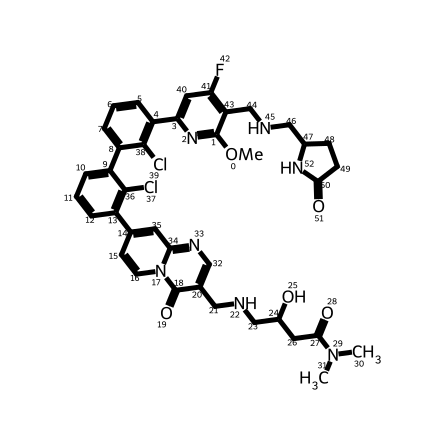 COc1nc(-c2cccc(-c3cccc(-c4ccn5c(=O)c(CNCC(O)CC(=O)N(C)C)cnc5c4)c3Cl)c2Cl)cc(F)c1CNCC1CCC(=O)N1